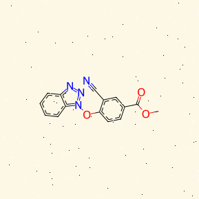 COC(=O)c1ccc(On2nnc3ccccc32)c(C#N)c1